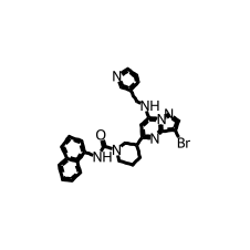 O=C(Nc1cccc2ccccc12)N1CCCC(c2cc(NCc3cccnc3)n3ncc(Br)c3n2)C1